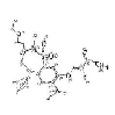 CCOC[C@@H]1CN(C23CC(C2)C3)c2cc(N(C)C)c(O/C=C(\F)C(=O)O)cc2S(=O)(=O)N1C